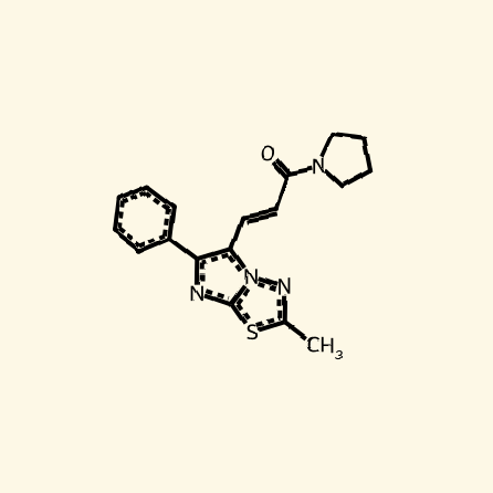 Cc1nn2c(C=CC(=O)N3CCCC3)c(-c3ccccc3)nc2s1